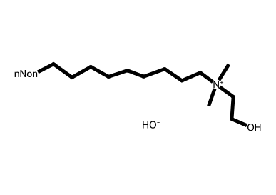 CCCCCCCCCCCCCCCCCC[N+](C)(C)CCO.[OH-]